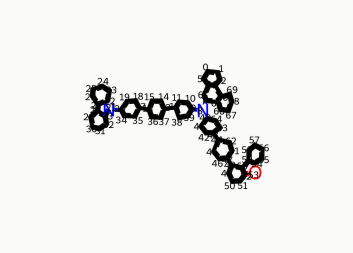 c1ccc2c(c1)cc(N(c1ccc(-c3ccc(-c4ccc(-n5c6ccccc6c6ccccc65)cc4)cc3)cc1)c1ccc(-c3ccc(-c4cccc5oc6ccccc6c45)cc3)cc1)c1ccccc12